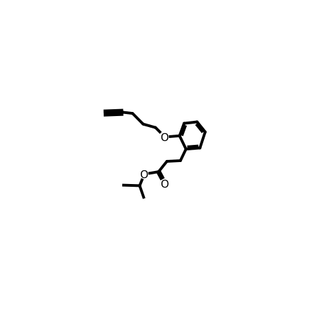 C#CCCCOc1ccccc1CCC(=O)OC(C)C